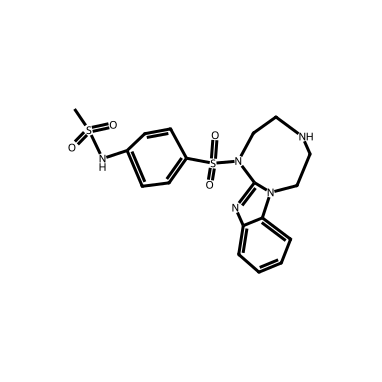 CS(=O)(=O)Nc1ccc(S(=O)(=O)N2CCNCCn3c2nc2ccccc23)cc1